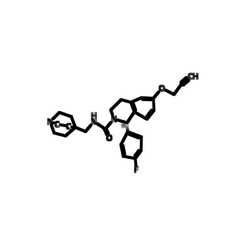 C#CCOc1ccc2c(c1)CCN(C(=O)NCC13CCN(CC1)CC3)[C@H]2c1ccc(F)cc1